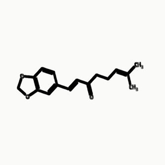 CC(C)=CCCC(=O)/C=C/c1ccc2c(c1)OCO2